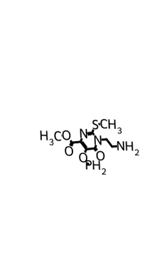 COC(=O)c1nc(SC)n(CCN)c(=O)c1OP